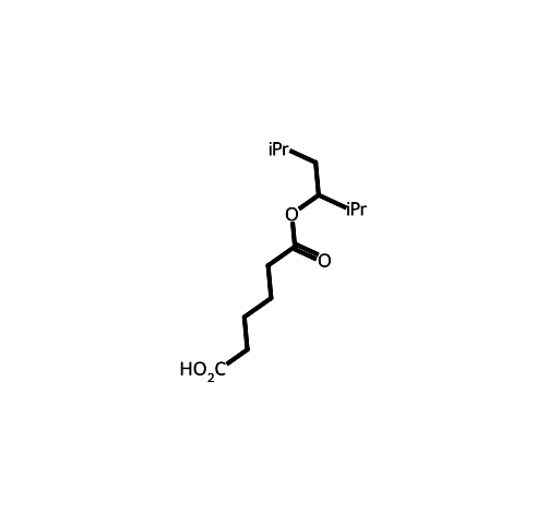 CC(C)CC(OC(=O)CCCCC(=O)O)C(C)C